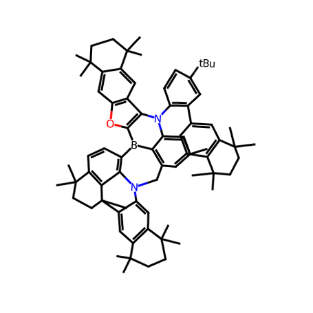 Cc1cc2c3c(c1)N(c1ccc(C(C)(C)C)cc1-c1ccc4c(c1)C(C)(C)CCC4(C)C)c1c(oc4cc5c(cc14)C(C)(C)CCC5(C)C)B3c1ccc3c4c1N(C2)c1cc2c(cc1C4(C)CCC3(C)C)C(C)(C)CCC2(C)C